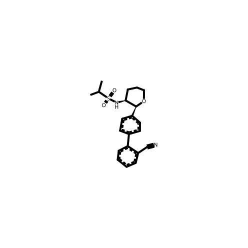 CC(C)S(=O)(=O)N[C@H]1CCCO[C@H]1c1ccc(-c2ccccc2C#N)cc1